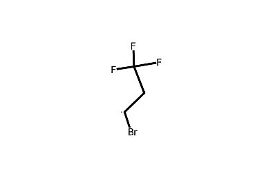 FC(F)(F)C[CH]Br